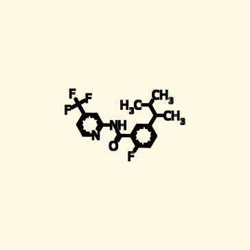 CC(C)C(C)c1ccc(F)c(C(=O)Nc2cc(C(F)(F)F)ccn2)c1